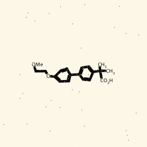 COCCOc1ccc(-c2ccc(C(C)(C)C(=O)O)cc2)cc1